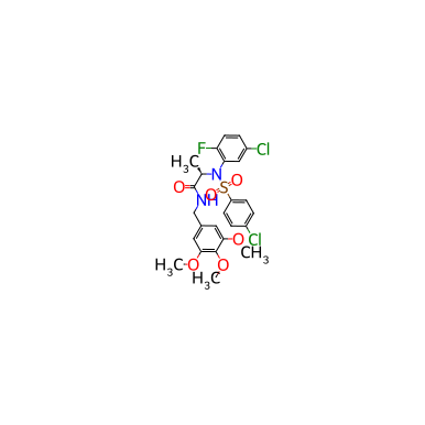 COc1cc(CNC(=O)[C@@H](C)N(c2cc(Cl)ccc2F)S(=O)(=O)c2ccc(Cl)cc2)cc(OC)c1OC